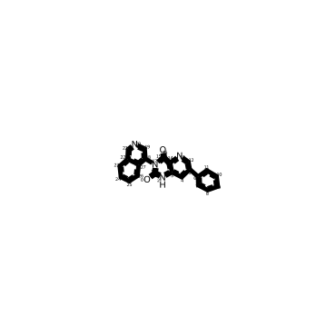 O=c1[nH]c2cc(-c3ccccc3)cnc2c(=O)n1-c1cncc2ccccc12